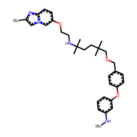 CC(C)(CCC(C)(C)NCCOc1ccc2nc(C(C)(C)C)cn2c1)COCc1ccc(Oc2cccc(NC(C)(C)C)c2)cc1